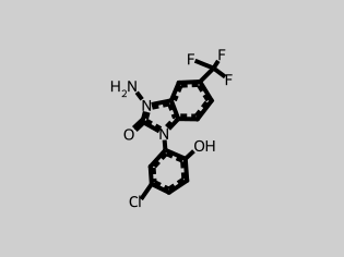 Nn1c(=O)n(-c2cc(Cl)ccc2O)c2ccc(C(F)(F)F)cc21